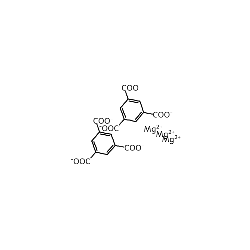 O=C([O-])c1cc(C(=O)[O-])cc(C(=O)[O-])c1.O=C([O-])c1cc(C(=O)[O-])cc(C(=O)[O-])c1.[Mg+2].[Mg+2].[Mg+2]